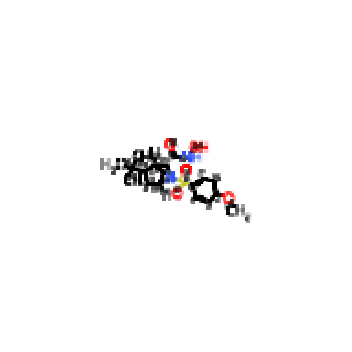 COc1ccc(S(=O)(=O)N2[C@@H]3CC(C(C)(C)C)[C@H](C3)[C@@H]2C(=O)NO)cc1